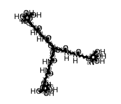 C=NC1C(OCCCCC(=O)NCCCNC(=O)CCOCC(C)(COCCC(=O)NCCCNC(=O)CCCCOC2OC(CO)C(O)C(O)C2N=C)COCCC(=O)NCCCNC(=O)CCCCOC2OC(CO)C(O)C(O)C2N=C)CC(CO)C(O)C1O